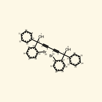 OC(C#CC#CC(O)(c1ccccc1)c1ccccc1Br)(c1ccccc1)c1ccccc1Br